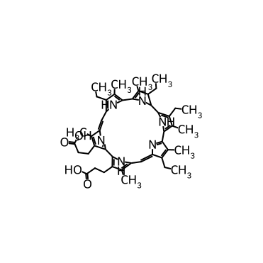 CCC1=C(C)C2=N/C1=C\c1[nH]c(c(CCC(=O)O)c1C)C1=N/C(=C\c3[nH]c(c(C)c3CC)C3=C(C)C(CC)C(N3)c3[nH]c2c(C)c3CC)C(C)=C1CCC(=O)O